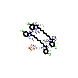 CN1C(=CC=CC=CC=CC2=[N+](C)c3ccc(Cl)cc3C2(C)C)C(C)(C)c2cc(Cl)ccc21.CN1C(=CC=CC=CC=CC2=[N+](C)c3ccc(Cl)cc3C2(C)C)C(C)(C)c2cc(Cl)ccc21.[C-]#N.[O-][Cl+3]([O-])([O-])[O-]